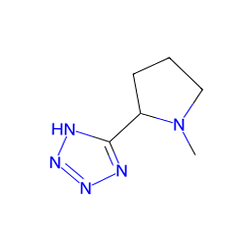 CN1CCCC1c1nnn[nH]1